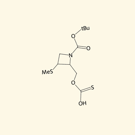 CSC1CN(C(=O)OC(C)(C)C)C1COC(O)=S